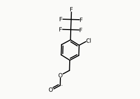 O=[C]OCc1ccc(C(F)(F)C(F)(F)F)c(Cl)c1